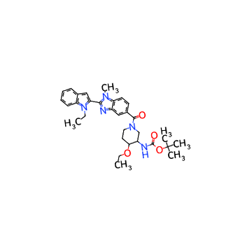 CCOC1CCN(C(=O)c2ccc3c(c2)nc(-c2cc4ccccc4n2CC)n3C)CC1NC(=O)OC(C)(C)C